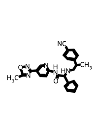 Cc1nc(-c2ccc(NC(=O)C(NCC(C)c3ccc(C#N)cc3)c3ccccc3)nc2)no1